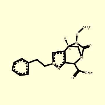 COC(=O)C1c2nn(CCc3ccccc3)cc2[C@H]2CN1C(=O)N2OS(=O)(=O)O